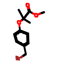 COC(=O)C(C)(C)Oc1ccc(CBr)cc1